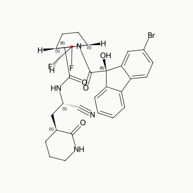 N#C[C@H](C[C@@H]1CCCNC1=O)NC(=O)[C@H]1[C@@H]2CC[C@@H](CC2(F)F)N1C(=O)[C@@]1(O)c2ccccc2-c2ccc(Br)cc21